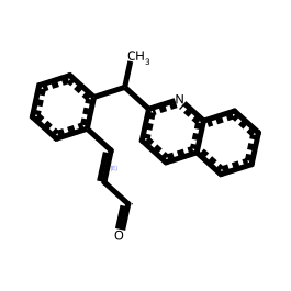 CC(c1ccc2ccccc2n1)c1ccccc1/C=C/[C]=O